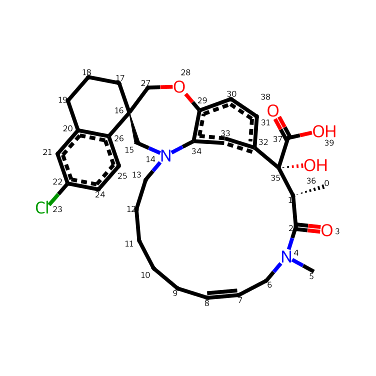 C[C@@H]1C(=O)N(C)C/C=C\CCCCCN2C[C@@]3(CCCc4cc(Cl)ccc43)COc3ccc(cc32)[C@@]1(O)C(=O)O